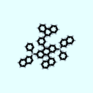 c1ccc(N(c2ccc3ccccc3c2)c2ccc3c(-c4cccc5ccccc45)c4cc(N(c5ccccc5)c5ccc6ccccc6c5)ccc4c(-c4cccc(-c5cc6ccccc6c6ccccc56)c4)c3c2)cc1